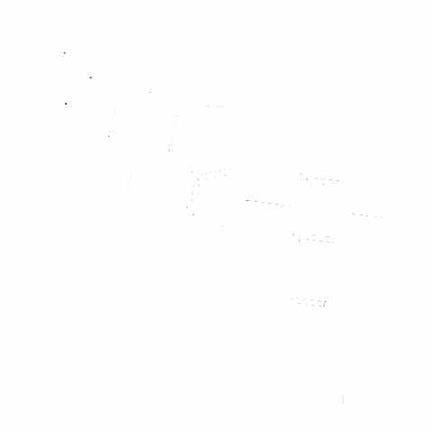 CCOC(=O)Oc1nc(-c2cnn(-c3c(C)cc(C(F)(C(F)(F)F)C(F)(F)F)cc3C)c2)ncc1Cl